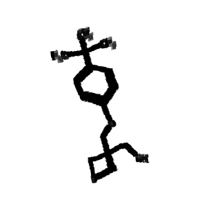 CC(C)(C)c1ccc(OCC2(CO)COC2)cc1